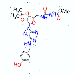 COC(=O)CNC(=O)NC[C@H]1O[C@@H](n2cnc3c(NCc4ccc(O)cc4)ncnc32)C2OC(C)(C)OC21